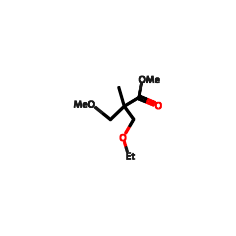 CCOCC(C)(COC)C(=O)OC